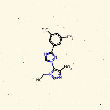 N#CCn1cnc([N+](=O)[O-])c1-n1cnc(-c2cc(C(F)(F)F)cc(C(F)(F)F)c2)n1